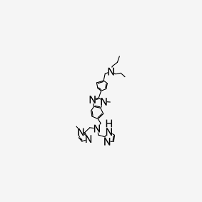 CCCN(CCC)Cc1ccc(-c2nc3ccc(CN(Cc4ncc[nH]4)Cc4nccn4C)cc3n2C)cc1